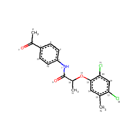 CC(=O)c1ccc(NC(=O)C(C)Oc2cc(C)c(Cl)cc2Cl)cc1